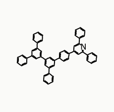 c1ccc(-c2cc(-c3ccccc3)cc(-c3cc(-c4ccccc4)cc(-c4ccc(-c5cc(-c6ccccc6)nc(-c6ccccc6)c5)cc4)c3)c2)cc1